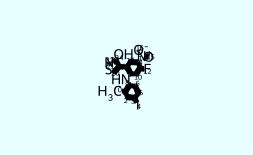 Cc1cc(I)ccc1Nc1cc(F)c([N+](=O)[O-])cc1-c1csnc1O